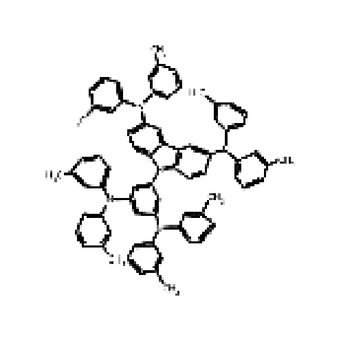 Cc1cccc(N(c2cccc(C)c2)c2cc(N(c3cccc(C)c3)c3cccc(C)c3)cc(-n3c4ccc(N(c5cccc(C)c5)c5cccc(C)c5)cc4c4cc(N(c5cccc(C)c5)c5cccc(C)c5)ccc43)c2)c1